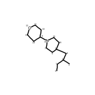 CCC(C)CC1CCN(C2CCOCC2)CC1